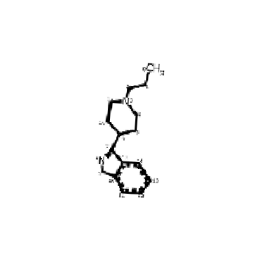 CCCN1CCC(C2=NCc3ccccc32)CC1